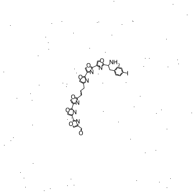 NC(Cc1ccc(I)cc1)c1nc(-c2nc(-c3nc(C/C=C/c4nc(-c5nc(-c6nc(C=O)co6)co5)co4)co3)co2)co1